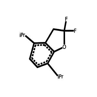 CC(C)c1ccc(C(C)C)c2c1CC(F)(F)O2